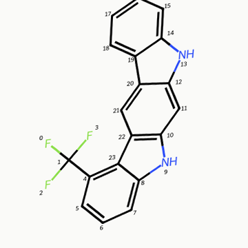 FC(F)(F)c1cccc2[nH]c3cc4[nH]c5ccccc5c4cc3c12